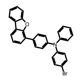 Brc1ccc(N(c2ccccc2)c2ccc(-c3cccc4c3oc3ccccc34)cc2)cc1